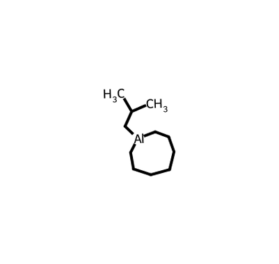 CC(C)[CH2][Al]1[CH2]CCCCC[CH2]1